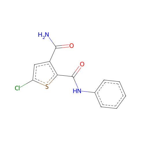 NC(=O)c1cc(Cl)sc1C(=O)Nc1ccccc1